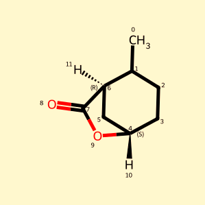 CC1CC[C@H]2C[C@H]1C(=O)O2